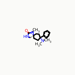 CN1C(=O)NC[C@]12CC[C@](c1ccccc1)(N(C)C)CC2